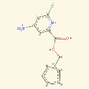 Nc1cc(Cl)nc(C(=O)OCc2ccccc2)c1